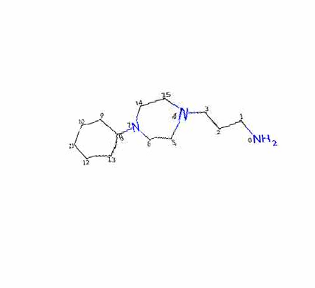 NCCCN1CCN(C2CCCCC2)CC1